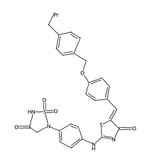 CC(C)Cc1ccc(COc2ccc(/C=C3\SC(Nc4ccc(N5CC(=O)NS5(=O)=O)cc4)=NC3=O)cc2)cc1